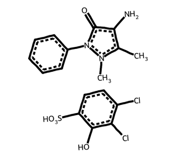 Cc1c(N)c(=O)n(-c2ccccc2)n1C.O=S(=O)(O)c1ccc(Cl)c(Cl)c1O